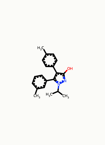 Cc1ccc(-c2c(O)nn(C(C)C)c2-c2cccc(C)c2)cc1